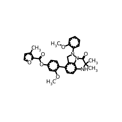 COc1cc(OC(=O)c2occc2C)ccc1-c1ccc2c3c1CN(c1ccccc1OC)N3C(=O)C(C)(C)N2